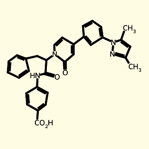 Cc1cc(C)n(-c2cccc(-c3ccn(C(Cc4ccccc4)C(=O)Nc4ccc(C(=O)O)cc4)c(=O)c3)c2)n1